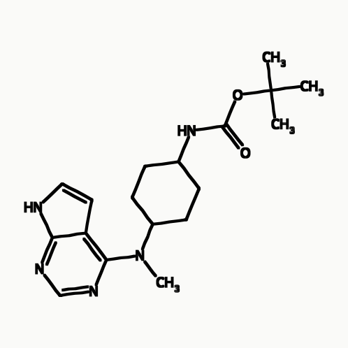 CN(c1ncnc2[nH]ccc12)C1CCC(NC(=O)OC(C)(C)C)CC1